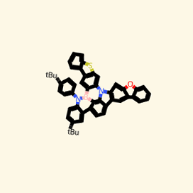 CC(C)(C)c1ccc(N2B3c4cc5c(cc4-n4c6cc7oc8ccccc8c7cc6c6ccc(c3c64)-c3cc(C(C)(C)C)ccc32)sc2ccccc25)cc1